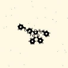 Fc1nc(OCc2ccccc2)ccc1[C@@H]1O[C@H](COCc2ccccc2)C(OCc2ccccc2)C1OCc1ccccc1